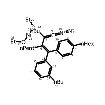 CCCCCCc1ccc(C(=C(CCCCC)C(=C=[N+]=[N-])CCCC)c2cccc(CCCC)c2)cc1.CC[O][Ni][O]CC